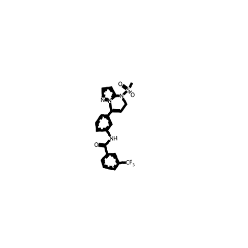 CS(=O)(=O)N1CC=C(c2cccc(NC(=O)c3cccc(C(F)(F)F)c3)c2)n2nccc21